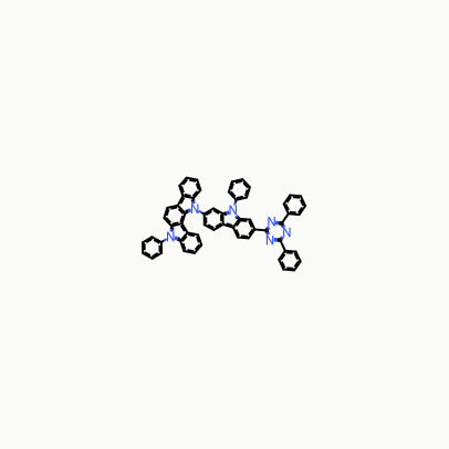 c1ccc(-c2nc(-c3ccccc3)nc(-c3ccc4c5ccc(-n6c7ccccc7c7ccc8c(c9ccccc9n8-c8ccccc8)c76)cc5n(-c5ccccc5)c4c3)n2)cc1